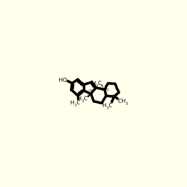 Cc1cc(O)cc2c1[C@@]1(C)CCC3C(C)(C)CCC[C@]3(C)C1=C2